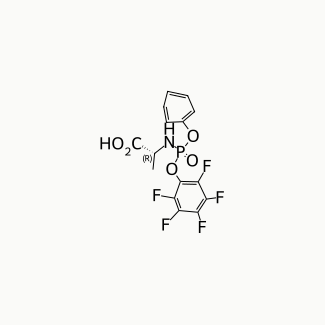 C[C@@H](NP(=O)(Oc1ccccc1)Oc1c(F)c(F)c(F)c(F)c1F)C(=O)O